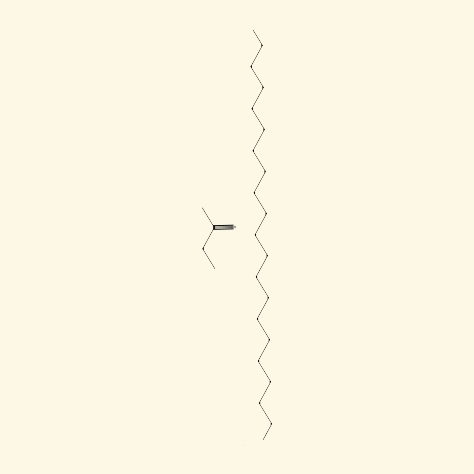 CCC(C)=O.O=C(O)CCCCCCCCCCCCCCCCCCCC(=O)O